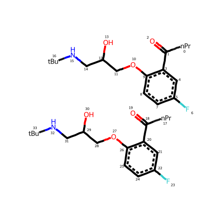 CCCC(=O)c1cc(F)ccc1OCC(O)CNC(C)(C)C.CCCC(=O)c1cc(F)ccc1OCC(O)CNC(C)(C)C